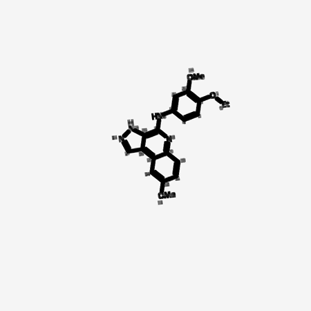 CCOc1ccc(Nc2nc3ccc(OC)cc3c3cn[nH]c23)cc1OC